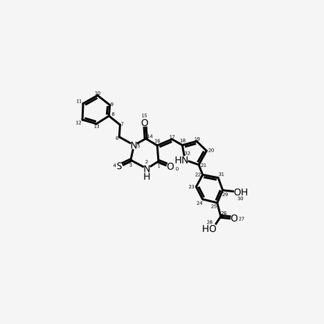 O=C1NC(=S)N(CCc2ccccc2)C(=O)C1=Cc1ccc(-c2ccc(C(=O)O)c(O)c2)[nH]1